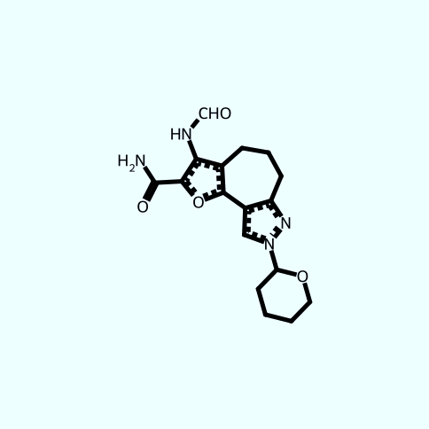 NC(=O)c1oc2c(c1NC=O)CCCc1nn(C3CCCCO3)cc1-2